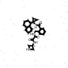 O=C(NCc1ccccc1C(=O)NC1(c2cccc3ccccc23)CC1)C(=O)NC1CNC1